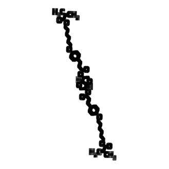 C=C(C)C(=O)OCCCCCCOc1ccc(/C=C/C(=O)O[C@H]2CO[C@H]3[C@@H]2OC[C@H]3OC(=O)/C=C/c2ccc(OCCCCCCOC(=O)C(=C)C)cc2)cc1